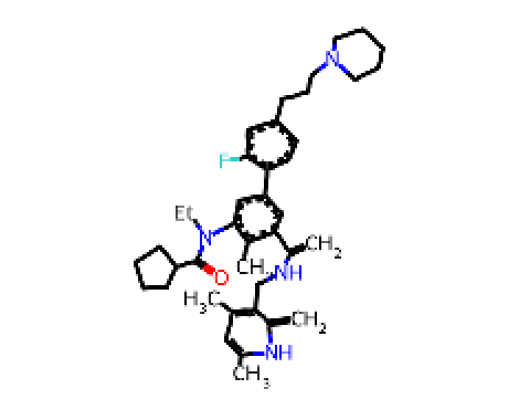 C=C1NC(C)=CC(C)=C1CNC(=C)c1cc(-c2ccc(CCCN3CCCCC3)cc2F)cc(N(CC)C(=O)C2CCCC2)c1C